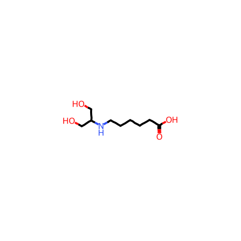 O=C(O)CCCCCNC(CO)CO